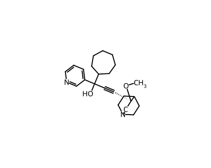 CO[C@]1(C#CC(O)(c2cccnc2)C2CCCCCC2)CN2CCC1CC2